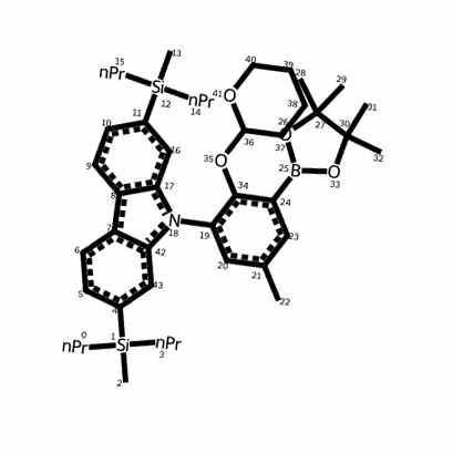 CCC[Si](C)(CCC)c1ccc2c3ccc([Si](C)(CCC)CCC)cc3n(-c3cc(C)cc(B4OC(C)(C)C(C)(C)O4)c3OC3CCCCO3)c2c1